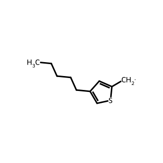 [CH2]c1cc(CCCCC)cs1